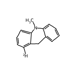 [2H]c1cccc2c1Cc1ccccc1N2C